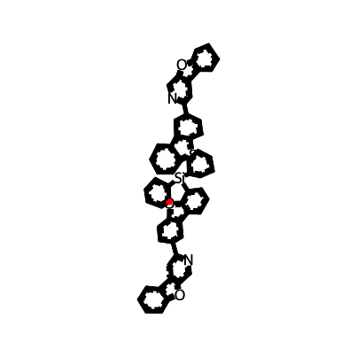 c1ccc([Si](c2ccccc2)(c2cccc3c2oc2ccc(-c4cc5c(cn4)oc4ccccc45)cc23)c2cccc3c2sc2ccc(-c4cc5c(cn4)oc4ccccc45)cc23)cc1